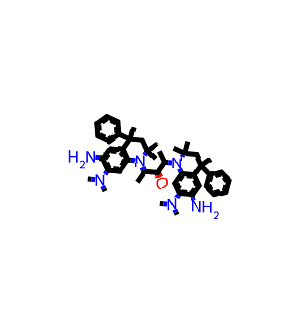 CC(C(=O)C(C)N1c2cc(N(C)C)c(N)cc2C(C)(c2ccccc2)CC1(C)C)N1c2cc(N(C)C)c(N)cc2C(C)(c2ccccc2)CC1(C)C